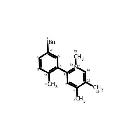 Cc1cc(-c2cc(C(C)(C)C)ccc2C)[n+](C)cc1C